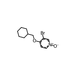 [O-][n+]1ccc(OCC2CCCCC2)c(Br)c1